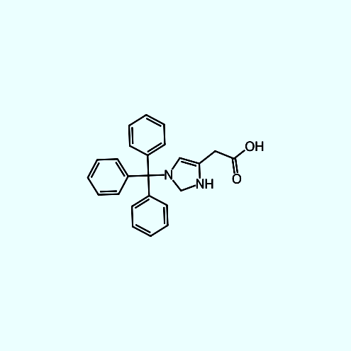 O=C(O)CC1=CN(C(c2ccccc2)(c2ccccc2)c2ccccc2)CN1